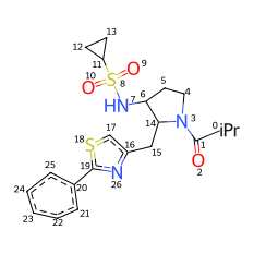 CC(C)C(=O)N1CCC(NS(=O)(=O)C2CC2)C1Cc1csc(-c2ccccc2)n1